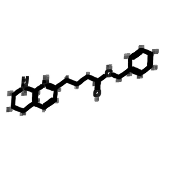 O=C(CCCc1ccc2c(n1)NCCC2)OCc1ccccc1